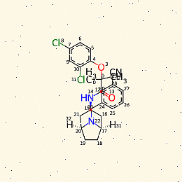 CC(C)(Oc1ccc(Cl)cc1Cl)C(=O)N[C@H]1C[C@H]2CC[C@@H](C1)N2Cc1cccc(C#N)c1